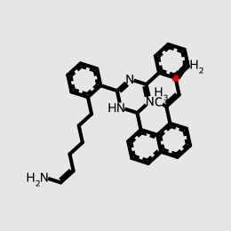 C=C/C=C(\C)c1cccc2cccc(C3N=C(c4ccccc4)N=C(c4ccccc4CCCC/C=C\N)N3)c12